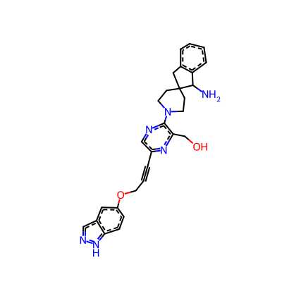 NC1c2ccccc2CC12CCN(c1ncc(C#CCOc3ccc4[nH]ncc4c3)nc1CO)CC2